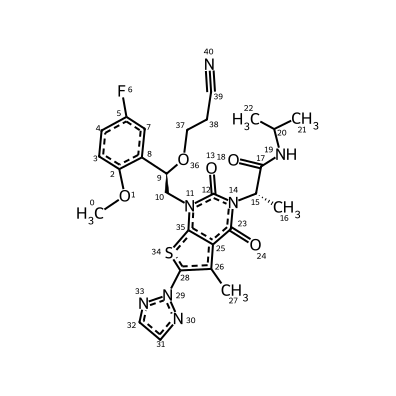 COc1ccc(F)cc1[C@H](Cn1c(=O)n([C@@H](C)C(=O)NC(C)C)c(=O)c2c(C)c(-n3nccn3)sc21)OCCC#N